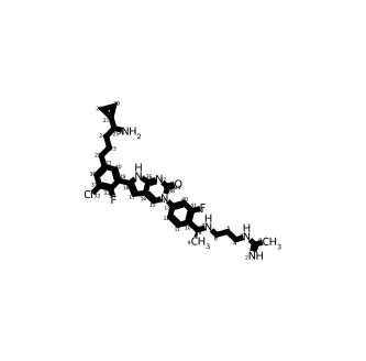 CC(=N)NCCCN[C@@H](C)c1ccc(-n2cc3cc(-c4cc(CCCC(N)C5CC5)cc(Cl)c4F)[nH]c3nc2=O)cc1F